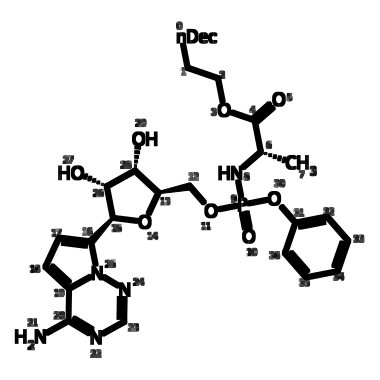 CCCCCCCCCCCCOC(=O)[C@H](C)NP(=O)(OC[C@H]1O[C@@H](c2ccc3c(N)ncnn23)[C@H](O)[C@@H]1O)Oc1ccccc1